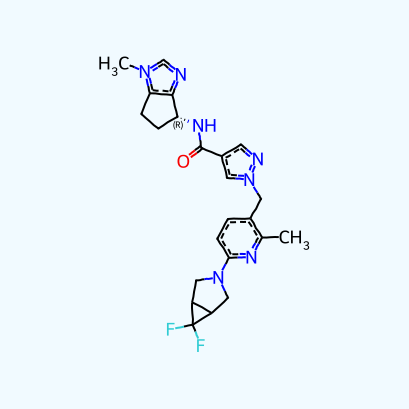 Cc1nc(N2CC3C(C2)C3(F)F)ccc1Cn1cc(C(=O)N[C@@H]2CCc3c2ncn3C)cn1